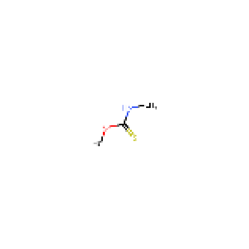 [CH]OC(=S)NC